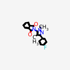 Cc1c(-c2ccc(F)cc2)nn(C)c1N1C(=O)c2ccccc2C1=O